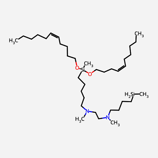 CCCCC/C=C\CCCCO[Si](C)(CCCCCN(C)CCN(C)CCCC[SiH2]C)OCCC/C=C\CCCCC